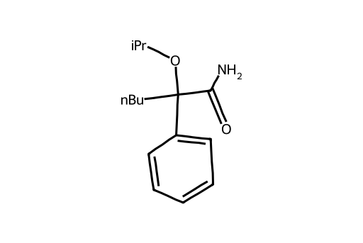 [CH2]CCCC(OC(C)C)(C(N)=O)c1ccccc1